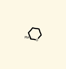 C1CCOCC1.[PbH2]